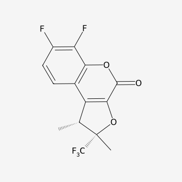 C[C@@H]1c2c(c(=O)oc3c(F)c(F)ccc23)O[C@]1(C)C(F)(F)F